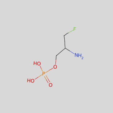 NC(CF)COP(=O)(O)O